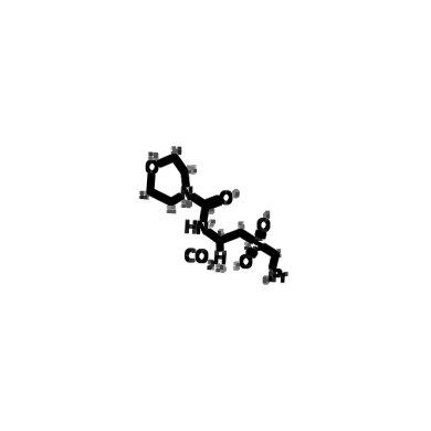 CC(C)CS(=O)(=O)CC(NC(=O)N1CCOCC1)C(=O)O